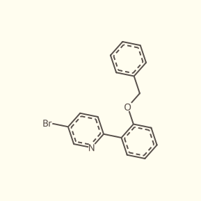 Brc1ccc(-c2ccccc2OCc2ccccc2)nc1